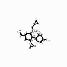 O=Cc1cc(OCC2CC2)c(-c2ccc(F)cc2F)c(C2CC2)c1